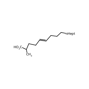 CCCCCCCCCC/C=C/CCC(C)C(=O)O